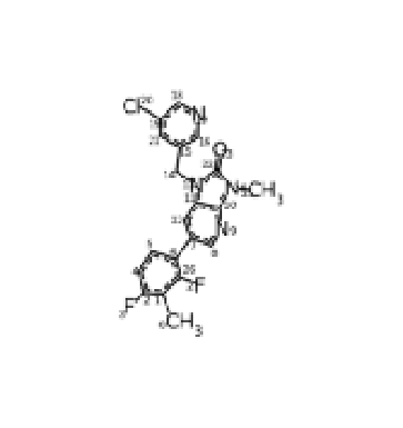 Cc1c(F)ccc(-c2cnc3c(c2)n(Cc2cncc(Cl)c2)c(=O)n3C)c1F